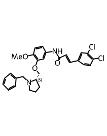 COc1ccc(NC(=O)C=Cc2ccc(Cl)c(Cl)c2)cc1OC[C@@H]1CCCN1Cc1ccccc1